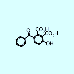 O=C(c1ccccc1)c1ccc(O)c(C(=O)O)c1C(=O)O